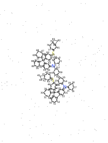 c1ccc(N(c2ccc(-c3ccc(N(c4ccccc4)c4ccc5c(c4)C(c4ccccc4)(c4ccc(Sc6ccc7c(c6)CC7)cc4)c4ccccc4-5)cc3)cc2)c2ccc3c(c2)C(c2ccccc2)(c2ccc(Sc4ccc5c(c4)CC5)cc2)c2ccccc2-3)cc1